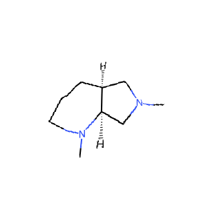 CN1C[C@@H]2CCCN(C)[C@@H]2C1